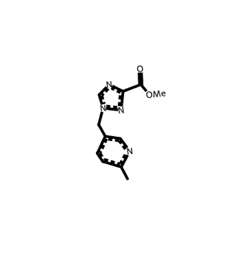 COC(=O)c1ncn(Cc2ccc(C)nc2)n1